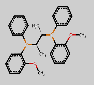 COc1ccccc1P(c1ccccc1)[C@@H](C)[C@H](C)P(c1ccccc1)c1ccccc1OC